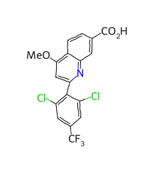 COc1cc(-c2c(Cl)cc(C(F)(F)F)cc2Cl)nc2cc(C(=O)O)ccc12